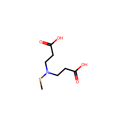 CSN(CCC(=O)O)CCC(=O)O